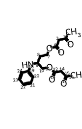 CC(=O)CC(=O)OCCC(COC(=O)CC(C)=O)Nc1ccccc1